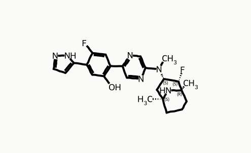 CN(c1cnc(-c2cc(F)c(-c3ccn[nH]3)cc2O)cn1)[C@H]1C[C@]2(C)CCC[C@@](C)(N2)[C@H]1F